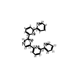 c1ccc(-c2cccc(-c3cncc(-c4cccc(-c5ccccn5)n4)n3)n2)nc1